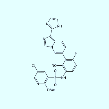 COc1ncc(Cl)cc1S(=O)(=O)Nc1ccc(F)c(-c2ccc3c(-c4ncc[nH]4)ncn3c2)c1C#N